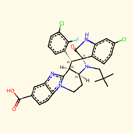 CC(C)(C)CN1[C@H]2CCn3c(nc4cc(C(=O)O)ccc43)[C@H]2[C@H](c2cccc(Cl)c2F)[C@]12C(=O)Nc1cc(Cl)ccc12